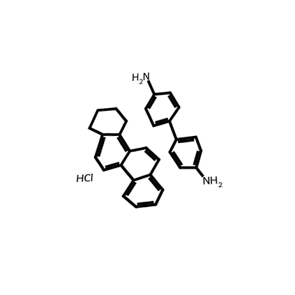 Cl.Nc1ccc(-c2ccc(N)cc2)cc1.c1ccc2c(c1)ccc1c3c(ccc12)CCCC3